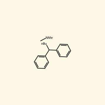 CCCCC(c1ccccc1)c1ccccc1.CNC